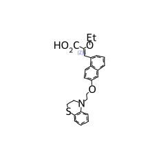 CCO/C(=C\c1cccc2cc(OCCN3CCSc4ccccc43)ccc12)C(=O)O